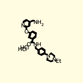 CCN1CCN(c2ccc(CNC(=O)c3cccc(Oc4cc(CN)ccn4)c3)cc2)CC1.Cl.Cl